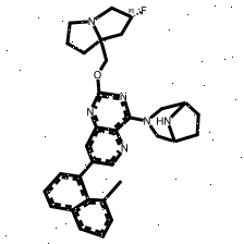 Cc1cccc2cccc(-c3cnc4c(N5CC6CCC(C5)N6)nc(OCC56CCCN5C[C@H](F)C6)nc4c3)c12